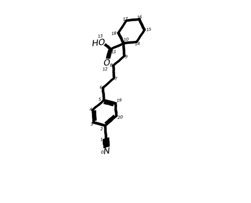 N#Cc1ccc(CCCCC2(C(=O)O)CCCCC2)cc1